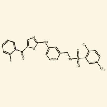 Cc1ccccc1C(=O)c1cnc(Nc2cccc(CNS(=O)(=O)c3cc(C(F)(F)F)ccc3Cl)c2)s1